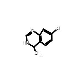 CC1NC=Nc2cc(Cl)ccc21